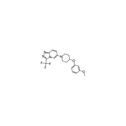 COc1cccc(OC2CCN(c3ccc4nnc(C(F)(F)F)n4c3)CC2)c1